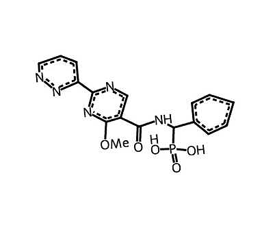 COc1nc(-c2cccnn2)ncc1C(=O)NC(c1ccccc1)P(=O)(O)O